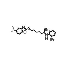 CC(C)c1cccc(C(C)C)c1NC(=O)CCCCCSc1nc2cc(N(C)C)ccc2o1